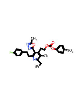 Cc1nnc(-c2c(CCc3ccc(F)cc3)nc(CC(C)C)c(C#N)c2CCOC(=O)Oc2ccc([N+](=O)[O-])cc2)o1